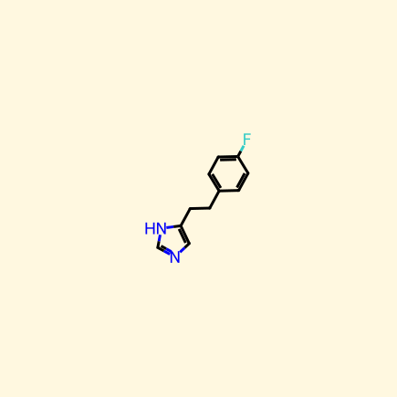 Fc1ccc(CCc2cnc[nH]2)cc1